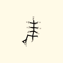 CC(F)(CC1CO1)C(F)(F)C(F)(F)C(F)(F)F